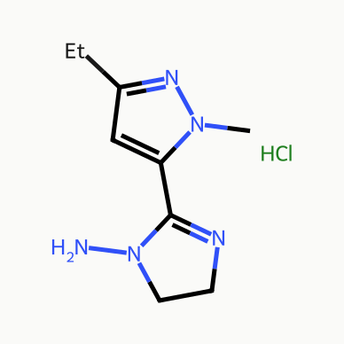 CCc1cc(C2=NCCN2N)n(C)n1.Cl